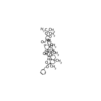 CC(C)(C)OC(=O)CNC(=O)[C@H]1CC[C@]2(C)[C@H]3C(=O)C=C4[C@@H]5C[C@@](C)(C(=O)OCc6ccccc6)CC[C@]5(C)CC[C@@]4(C)[C@]3(C)CC[C@H]2C1(C)C